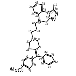 COc1ccc(C(=C2CCN(CCCN3Cc4nnc(C)n4-c4ccccc43)CC2)c2ccccc2)cc1